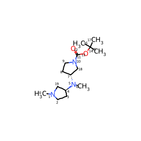 CN1CC[C@H](N(C)[C@@H]2CCN(C(=O)OC(C)(C)C)C2)C1